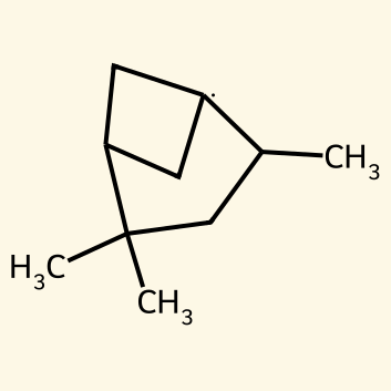 CC1CC(C)(C)C2C[C]1C2